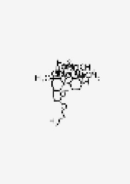 C=CCO[C@@H]1CCC2=C(O1)[C@]13CO[C@@](OC)([C@@H](O)[C@@H]1C(C)(C)C2)[C@]12C(=O)C(=C)[C@H](CC[C@@H]31)[C@H]2OC